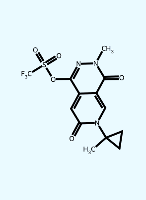 Cn1nc(OS(=O)(=O)C(F)(F)F)c2cc(=O)n(C3(C)CC3)cc2c1=O